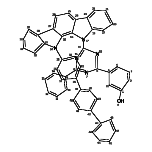 Oc1cccc(-c2nc(-c3ccccc3)nc(-n3c4ccccc4c4ccc5c6ccccc6n(-c6ccc(-c7ccc(-c8ccccc8)cc7)cc6)c5c43)n2)c1